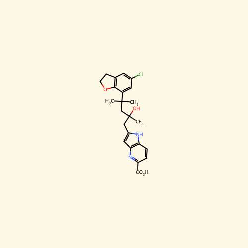 CC(C)(CC(O)(Cc1cc2nc(C(=O)O)ccc2[nH]1)C(F)(F)F)c1cc(Cl)cc2c1OCC2